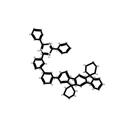 c1ccc(-c2nc(-c3ccccc3)nc(-c3cccc(-c4cccc(-c5ccc6c(c5)C5(CCCCC5)c5cc7c(cc5-6)C5(CCCCC5)c5ccccc5-7)c4)c3)n2)cc1